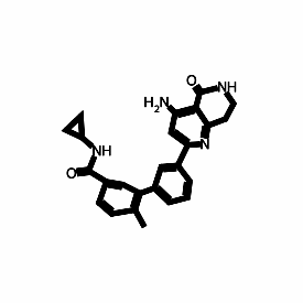 Cc1ccc(C(=O)NC2CC2)cc1-c1cccc(-c2cc(N)c3c(n2)CCNC3=O)c1